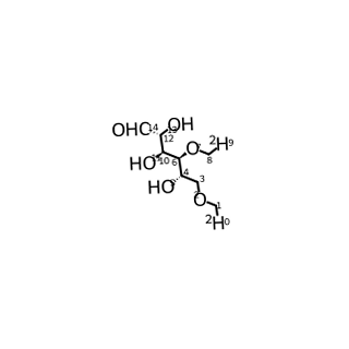 [2H]COC[C@H](O)[C@H](OC[2H])[C@@H](O)[C@@H](O)C=O